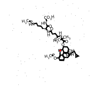 C=PNCCCC[C@H](NC(=O)CCC(=O)NC(C)(C)C(=O)OC1CC[C@@]2(O)[C@H]3Cc4ccc(OP=C)c5c4[C@@]2(CCN3CC2CC2)[C@H]1O5)C(=O)NCC(=O)O